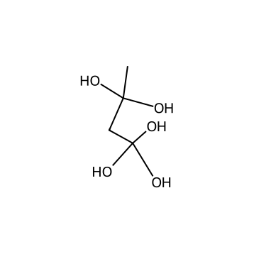 CC(O)(O)CC(O)(O)O